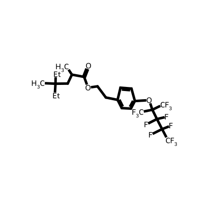 CCC(C)(CC)CC(C)C(=O)OCCc1ccc(OC(C(F)(F)F)(C(F)(F)F)C(F)(F)C(F)(F)C(F)(F)F)cc1